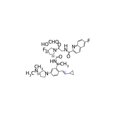 C[C@H](NC(=O)[C@@H]1C[C@@H](F)CN1C(=O)CNC(=O)c1ccc2cc(F)ccc2n1)c1cc(N2CC[C@H](N(C)C)C2)ccc1/C=C/C1CC1.O=CO